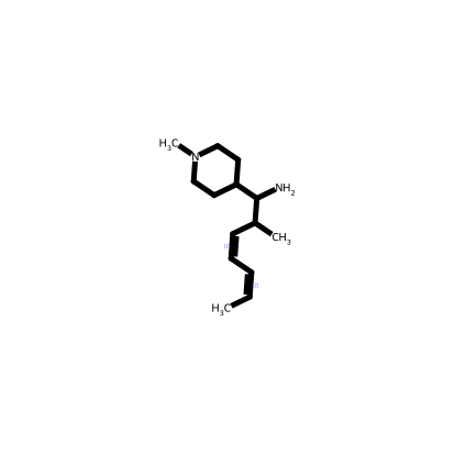 C/C=C\C=C/C(C)C(N)C1CCN(C)CC1